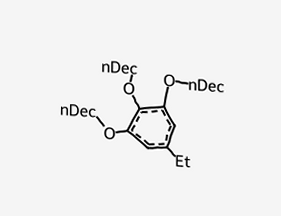 [CH2]Cc1cc(OCCCCCCCCCC)c(OCCCCCCCCCC)c(OCCCCCCCCCC)c1